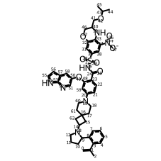 C=C(C)c1ccccc1C1CCCN1C1CC2(CCN(c3ccc(C(=O)NS(=O)(=O)c4cc5c(c([N+](=O)[O-])c4)NC(COC(C)C)CO5)c(Oc4cnc5[nH]ccc5c4)c3)CC2)C1